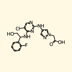 O=C(O)Cn1cc(Nc2ncc(Cl)c(NC(CO)c3ccccc3F)n2)cn1